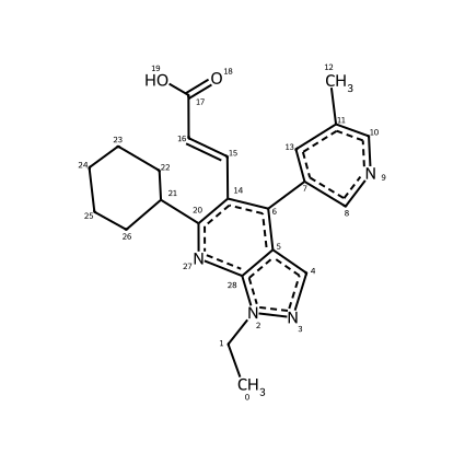 CCn1ncc2c(-c3cncc(C)c3)c(C=CC(=O)O)c(C3CCCCC3)nc21